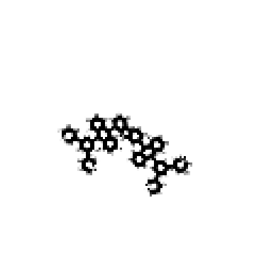 c1cncc(-c2cc(-c3cccnc3)cc(-c3c4ccccc4c(-c4ccc5c(c4)sc4c(-c6c7ccccc7c(-c7cc(-c8cccnc8)cc(-c8cccnc8)c7)c7ccccc67)cccc45)c4ccccc34)c2)c1